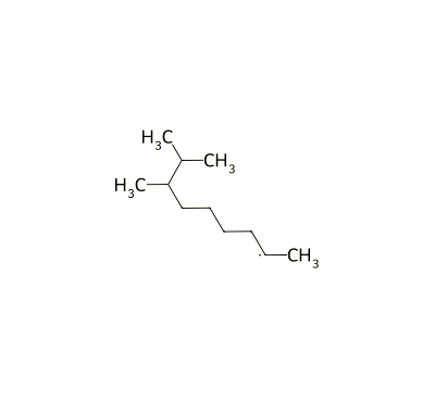 C[CH]CCCCC(C)C(C)C